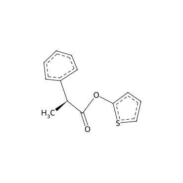 C[C@H](C(=O)Oc1cccs1)c1ccccc1